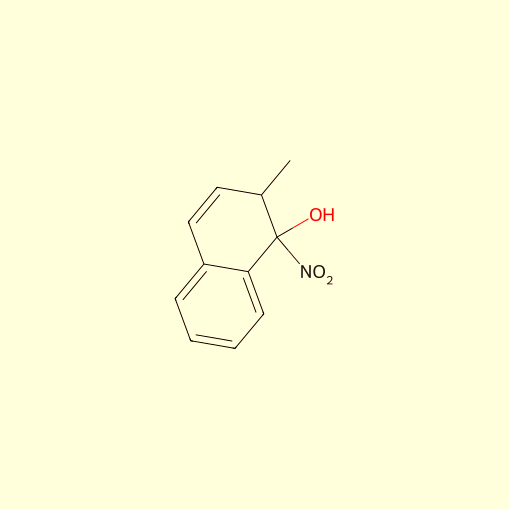 CC1C=Cc2ccccc2C1(O)[N+](=O)[O-]